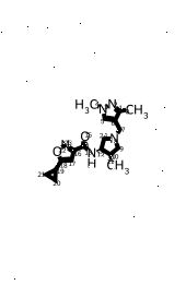 Cc1nn(C)cc1CN1C[C@@H](C)[C@H](NC(=O)c2cc(C3CC3)on2)C1